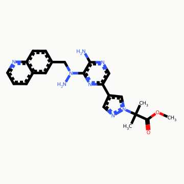 COC(=O)C(C)(C)n1cc(-c2cnc(N)c(N(N)Cc3ccc4ncccc4c3)n2)cn1